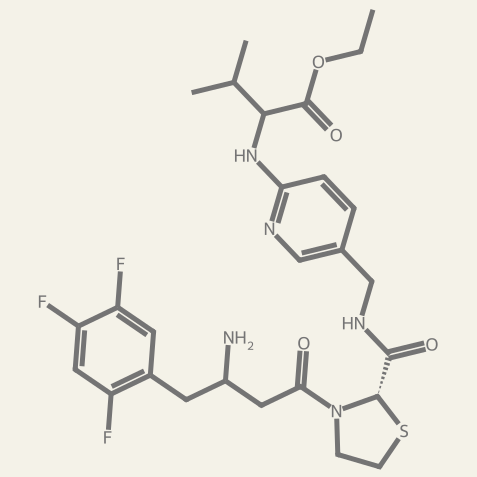 CCOC(=O)C(Nc1ccc(CNC(=O)[C@@H]2SCCN2C(=O)CC(N)Cc2cc(F)c(F)cc2F)cn1)C(C)C